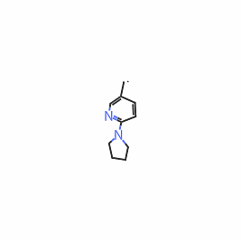 [CH2]c1ccc(N2CCCC2)nc1